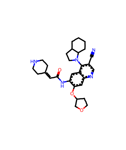 N#Cc1cnc2cc(OC3CCOC3)c(NC(=O)C=C3CCNCC3)cc2c1N1CCC2CCCCC21